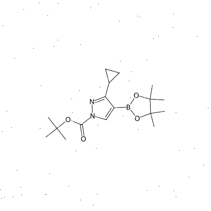 CC(C)(C)OC(=O)n1cc(B2OC(C)(C)C(C)(C)O2)c(C2CC2)n1